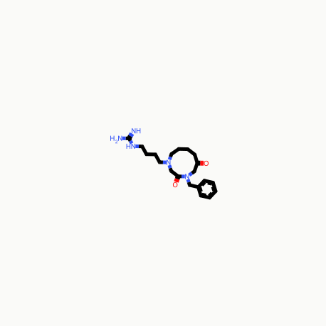 N=C(N)NCCCCN1CCCCC(=O)CN(Cc2ccccc2)C(=O)C1